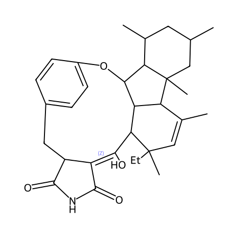 CCC1(C)C=C(C)C2C3C(Oc4ccc(cc4)CC4C(=O)NC(=O)/C4=C(\O)C31)C1C(C)CC(C)CC21C